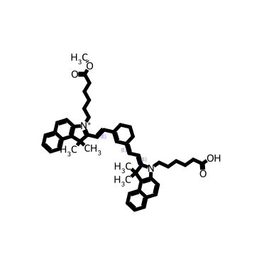 COC(=O)CCCCC[N+]1=C(/C=C/C2=CC(=C/C=C3/N(CCCCCC(=O)O)c4ccc5ccccc5c4C3(C)C)/CCC2)C(C)(C)c2c1ccc1ccccc21